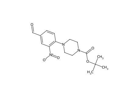 CC(C)(C)OC(=O)N1CCN(c2ccc(C=O)cc2[N+](=O)[O-])CC1